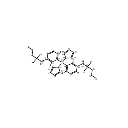 CCCC(C)(C)Nc1ccc(F)[c]([Ti]([c]2c(F)ccc(NC(C)(C)CCC)c2F)([CH]2C=CC=C2)[CH]2C=CC=C2)c1F